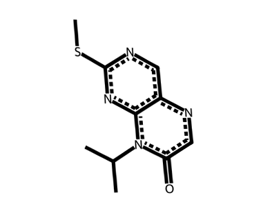 CSc1ncc2ncc(=O)n(C(C)C)c2n1